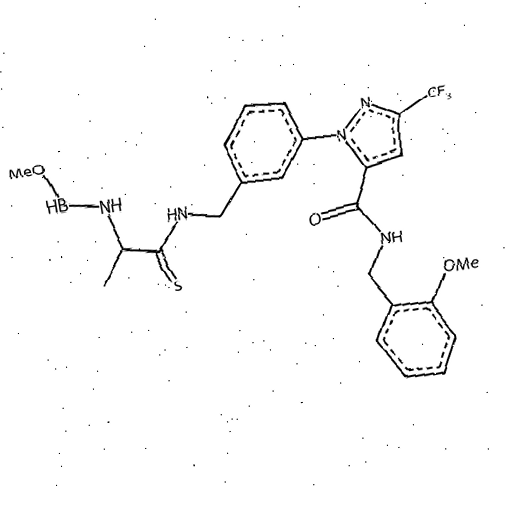 COBNC(C)C(=S)NCc1cccc(-n2nc(C(F)(F)F)cc2C(=O)NCc2ccccc2OC)c1